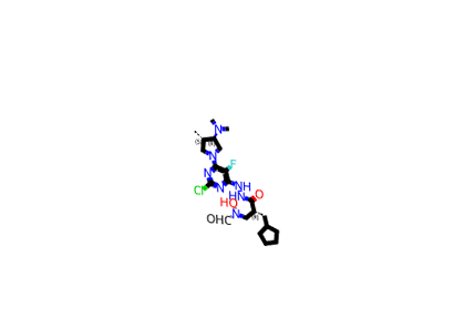 C[C@H]1CN(c2nc(Cl)nc(NNC(=O)[C@H](CC3CCCC3)CN(O)C=O)c2F)C[C@@H]1N(C)C